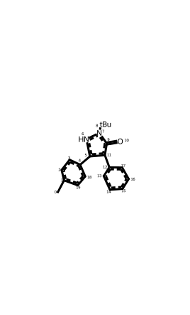 Cc1ccc(-c2[nH]n(C(C)(C)C)c(=O)c2-c2ccccc2)cc1